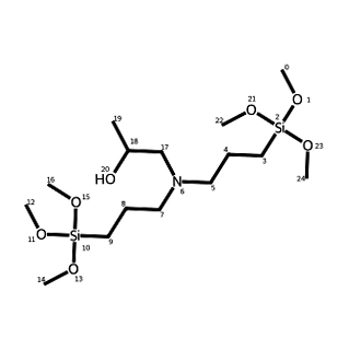 CO[Si](CCCN(CCC[Si](OC)(OC)OC)CC(C)O)(OC)OC